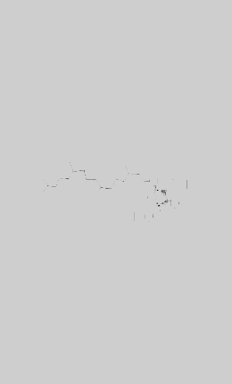 CC(C)CCCC(C)CCCC(C)CCCC(C)CCO[C@@H]1O[C@H](CO)[C@H](O)[C@H]1O